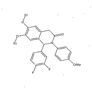 CCOc1cc2c(cc1OCC)C(c1ccc(F)c(F)c1)N(c1ccc(OC)cc1)C(=O)C2